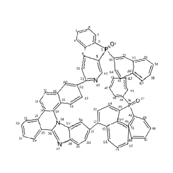 O=P(c1ccccc1)(c1ccc(-c2ccc3c(ccc4c5ccccc5c5nc6ccc(-c7ccc(P(=O)(c8ccccc8)c8ccccc8)c8ccccc78)cc6n5c34)c2)nc1)c1ccc2ccccc2c1